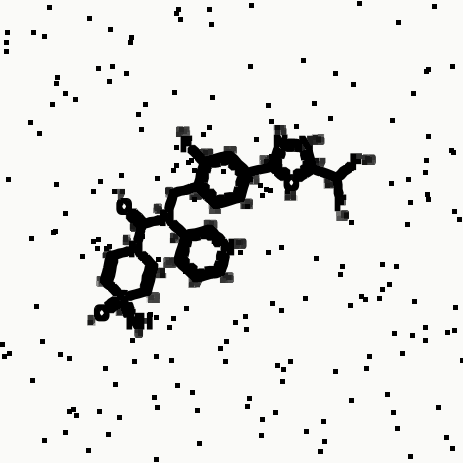 N=S1(=O)C=CN(C(=O)N(Cc2ccc(-c3nnc(C(F)F)o3)cc2F)c2cccnc2)C=C1